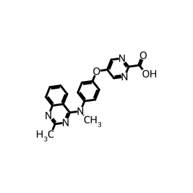 Cc1nc(N(C)c2ccc(Oc3cnc(C(=O)O)nc3)cc2)c2ccccc2n1